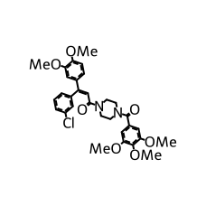 COc1ccc(/C(=C/C(=O)N2CCN(C(=O)c3cc(OC)c(OC)c(OC)c3)CC2)c2cccc(Cl)c2)cc1OC